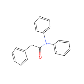 O=C(Cc1ccccc1)N(c1ccccc1)c1ccccc1